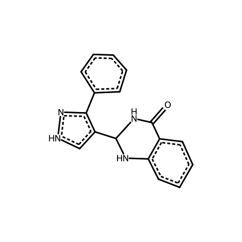 O=C1NC(c2c[nH]nc2-c2ccccc2)Nc2ccccc21